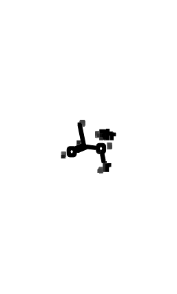 CC(=O)[O][Ir].[Rh]